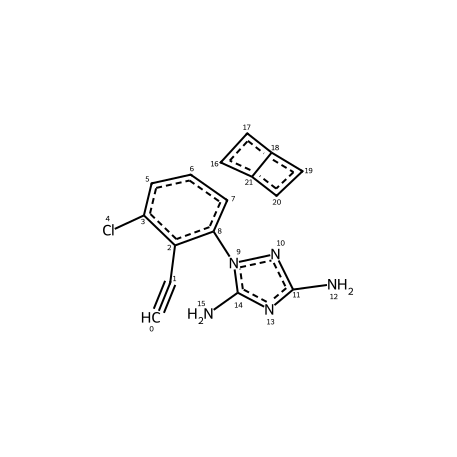 C#Cc1c(Cl)cccc1-n1nc(N)nc1N.c1cc2ccc1-2